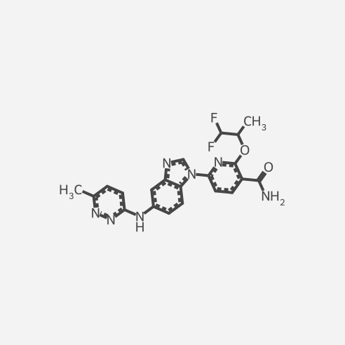 Cc1ccc(Nc2ccc3c(c2)ncn3-c2ccc(C(N)=O)c(OC(C)C(F)F)n2)nn1